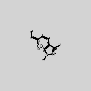 C/C=C(\C=C/c1cn(C)nc1C)C(=O)O